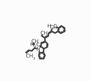 C#C[C@@H](C/C=C\C)N1c2ccccc2C2C=CC(/C(C=C)=C/C=C(/C)Cc3ccccc3C)=CC21C